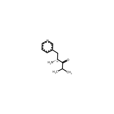 CC(C)C(=O)[C@H](N)Cc1cccnc1